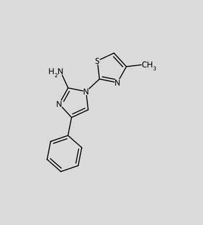 Cc1csc(-n2cc(-c3ccccc3)nc2N)n1